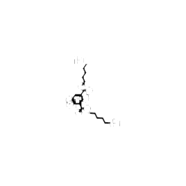 CC(C)CCCCCOC(=O)c1cccc(C(=O)OCCCCCC(C)C)c1.O=CO